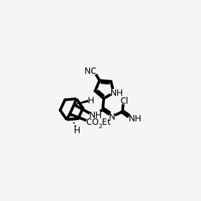 CCOC(=O)[C@H]1C2CCC(CC2)[C@@H]1N/C(=N/C(=N)Cl)c1cc(C#N)c[nH]1